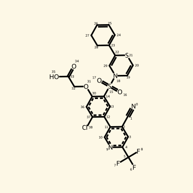 N#Cc1cc(C(F)(F)F)ncc1-c1cc(S(=O)(=O)N2C=CSC(C3=CC=CCC3)=C2)c(OCC(=O)O)cc1Cl